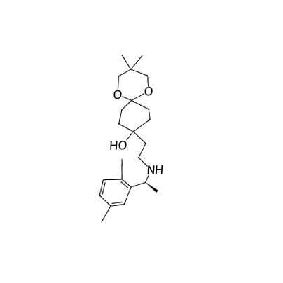 Cc1ccc(C)c([C@H](C)NCCC2(O)CCC3(CC2)OCC(C)(C)CO3)c1